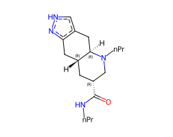 CCCNC(=O)[C@@H]1C[C@@H]2Cc3n[nH]cc3C[C@H]2N(CCC)C1